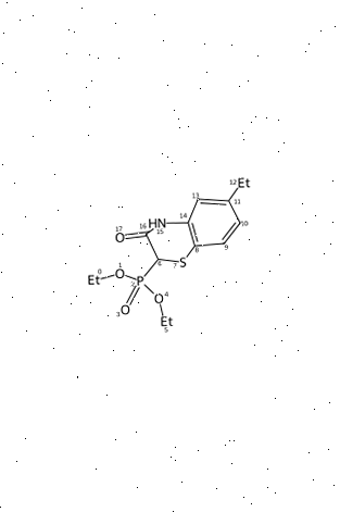 CCOP(=O)(OCC)C1Sc2ccc(CC)cc2NC1=O